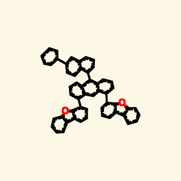 c1ccc(-c2ccc3c(-c4c5cccc(-c6cccc7c6oc6ccccc67)c5cc5c(-c6cccc7c6oc6ccccc67)cccc45)cccc3c2)cc1